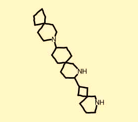 C1CCC2(C1)CCN(C1CCC3(CCC(C4CC5(CCCNC5)C4)NC3)CC1)CC2